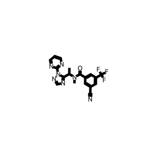 CC(c1ncnn1-c1ncccn1)N(C)C(=O)c1cc(C#N)cc(C(F)(F)F)c1